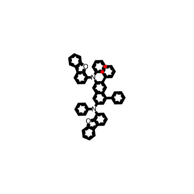 c1ccc(-c2cc3c(-c4ccccc4)cc(N(c4ccccc4)c4cccc5c4oc4ccccc45)cc3cc2N(c2ccccc2)c2cccc3c2oc2ccccc23)cc1